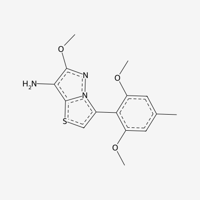 COc1cc(C)cc(OC)c1-c1csc2c(N)c(OC)nn12